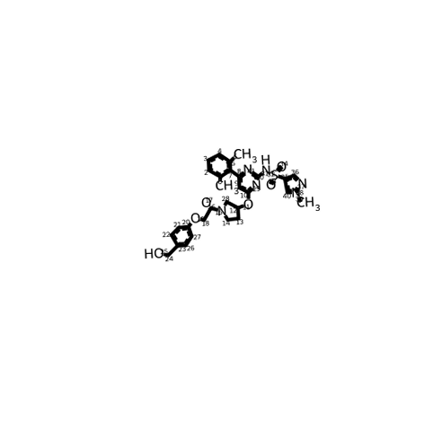 Cc1cccc(C)c1-c1cc(OC2CCN(C(=O)COc3ccc(CO)cc3)C2)nc(NS(=O)(=O)c2cnn(C)c2)n1